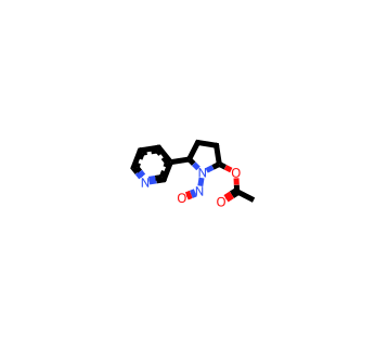 CC(=O)OC1CCC(c2cccnc2)N1N=O